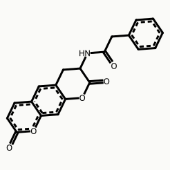 O=C(Cc1ccccc1)NC1Cc2cc3ccc(=O)oc3cc2OC1=O